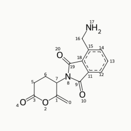 C=C1OC(=O)CCC1N1C(=O)c2cccc(CN)c2C1=O